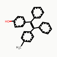 Cc1ccc(C(=C(c2ccccc2)c2ccc(O)cc2)c2ccccc2)cc1